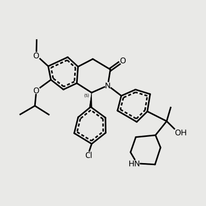 COc1cc2c(cc1OC(C)C)[C@H](c1ccc(Cl)cc1)N(c1ccc(C(C)(O)C3CCNCC3)cc1)C(=O)C2